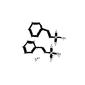 O=S(=O)(O)C=Cc1ccccc1.O=S(=O)(O)C=Cc1ccccc1.[LiH]